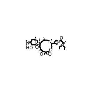 CCN(CC)[C@H](C)C(=O)N1CC(C2COC(=O)C(C)(C)C(=O)[C@H](C)[C@@H](O[C@@H]3O[C@H](C)C[C@H](N(C)C)[C@H]3O)[C@](C)(OC)C[C@@H](C)CN2C)C1